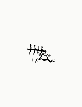 CN(CC(O)CCl)S(=O)(=O)C(F)(F)C(F)(F)C(F)(F)C(F)(F)F